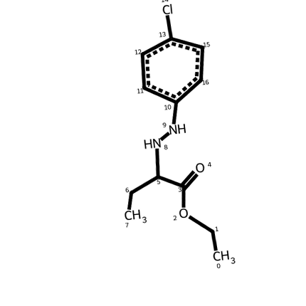 CCOC(=O)C(CC)NNc1ccc(Cl)cc1